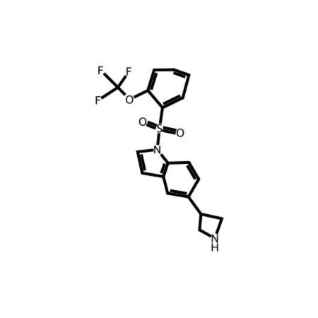 O=S(=O)(c1ccccc1OC(F)(F)F)n1ccc2cc(C3CNC3)ccc21